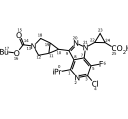 CC(C)c1nc(Cl)c(F)c2c1c(C1C3CN(C(=O)OC(C)(C)C)CC31)nn2C1CC1C(=O)O